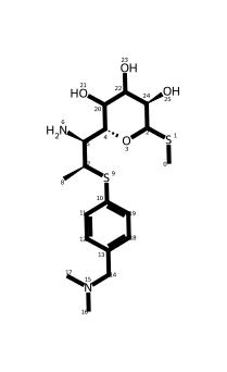 CSC1O[C@H]([C@H](N)[C@H](C)Sc2ccc(CN(C)C)cc2)C(O)C(O)[C@H]1O